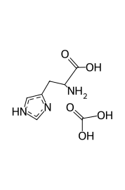 NC(Cc1c[nH]cn1)C(=O)O.O=C(O)O